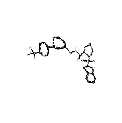 O=C(NCc1ccnc(-c2ccc(C(F)(F)F)nc2)c1)C1CCCN1S(=O)(=O)c1cc2ccccc2o1